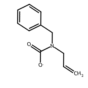 C=CCN(Cc1ccccc1)C([O])=O